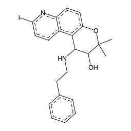 CC1(C)Oc2ccc3nc(I)ccc3c2C(NCCc2ccccc2)C1O